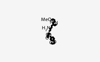 COc1ccc2nccc(CC[C@H](N)CC[C@@H]3CN(c4ccc5c(c4)OCCO5)C(=O)O3)c2n1